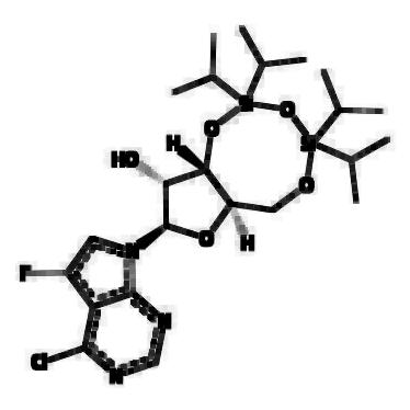 CC(C)[Si]1(C(C)C)OC[C@H]2O[C@@H](n3cc(F)c4c(Cl)ncnc43)[C@H](O)[C@@H]2O[Si](C(C)C)(C(C)C)O1